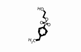 C=Cc1ccc(S(=O)(=O)OCCO)cc1